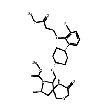 C[C@@H]1CC2(COCC(=O)N2)C(CO[C@H]2CC[C@@H](c3cccc(F)c3OCCC(=O)OC(C)(C)C)CC2)N1C(=O)OC(C)(C)C